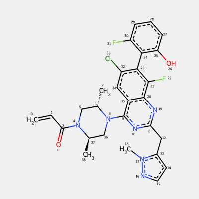 C=CC(=O)N1C[C@H](C)N(c2nc(Cc3ccnn3C)nc3c(F)c(-c4c(O)cccc4F)c(Cl)cc23)C[C@H]1C